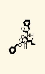 CC[C@H](C)[C@H](NC(=O)OCc1ccccc1)C(=O)N[C@H](C=O)Cc1ccccc1